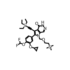 CC[Si](C#Cc1c(-c2ccc(OC(F)F)c(OC3CC3)c2)n(COCC[Si](C)(C)C)c2cn[nH]c(=O)c12)(CC)CC